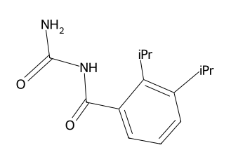 CC(C)c1cccc(C(=O)NC(N)=O)c1C(C)C